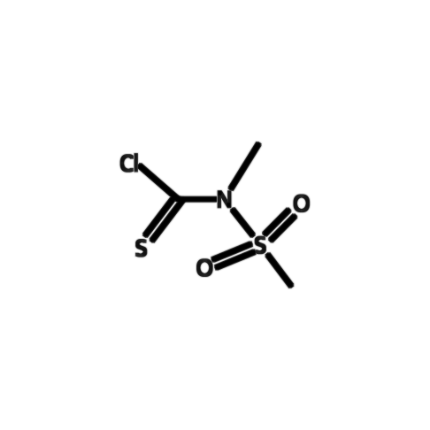 CN(C(=S)Cl)S(C)(=O)=O